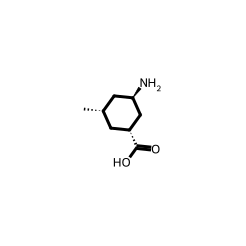 C[C@@H]1C[C@@H](N)C[C@H](C(=O)O)C1